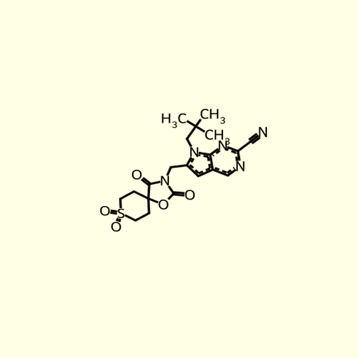 CC(C)(C)Cn1c(CN2C(=O)OC3(CCS(=O)(=O)CC3)C2=O)cc2cnc(C#N)nc21